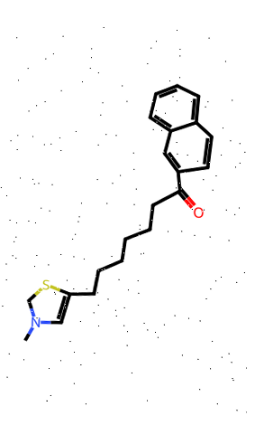 CN1C=C(CCCCCCC(=O)c2ccc3ccccc3c2)SC1